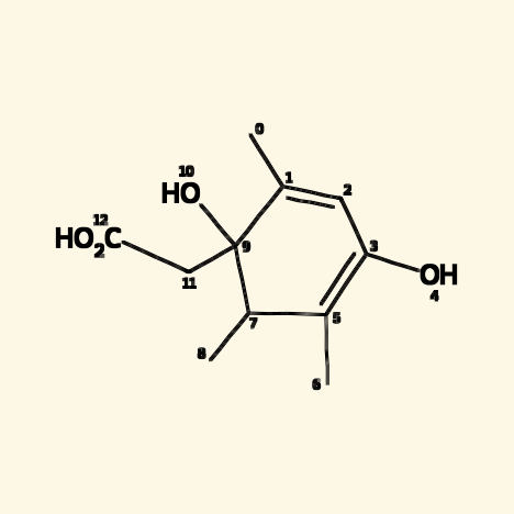 CC1=CC(O)=C(C)C(C)C1(O)CC(=O)O